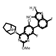 COc1nc(N2CC3CCC(C2)N3)c2cc(Cl)c(-c3ccc(F)c4sc(N)c(C#N)c34)c(F)c2n1